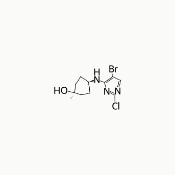 C[C@]1(O)CC[C@@H](Nc2nc(Cl)ncc2Br)CC1